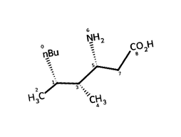 CCCC[C@@H](C)[C@@H](C)[C@H](N)CC(=O)O